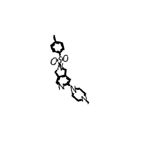 Cc1ccc(S(=O)(=O)N2Cc3cnc(N4CCN(C)CC4)cc3C2)cc1